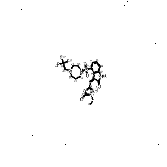 CCn1[nH]c(/C=C2\C(=O)Nc3cccc(S(=O)(=O)N4CCCN(CC(F)(F)F)CC4)c32)nc1=O